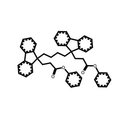 O=C(CCC1(CCCCC2(CCC(=O)Oc3ccccc3)c3ccccc3-c3ccccc32)c2ccccc2-c2ccccc21)Oc1ccccc1